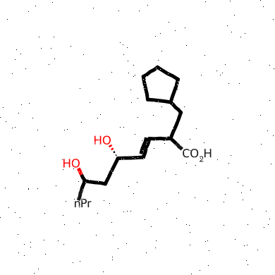 CCCC(O)C[C@H](O)C=CC(CC1CCCC1)C(=O)O